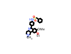 CCOc1cc2c(cc1OC)C(c1ccc(NS(=O)(=O)Cc3ccccc3)cc1)=NC1CCN(C)CC21